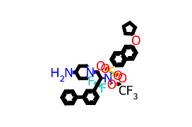 NC1CCN(C(=O)[C@@H](N(OC(=O)C(F)(F)F)S(=O)(=O)c2ccc3cc(OC4CCCC4)ccc3c2)C(F)(F)c2cccc(-c3ccccc3)c2)CC1